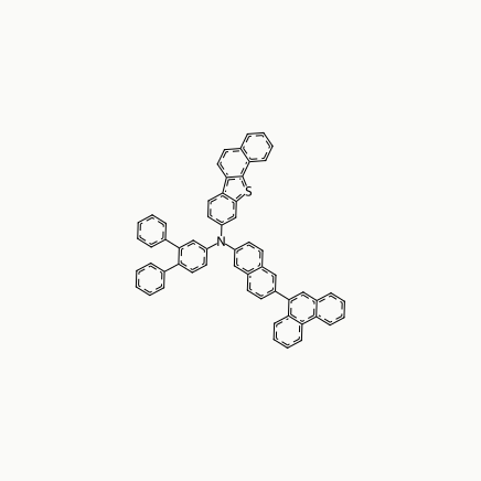 c1ccc(-c2ccc(N(c3ccc4cc(-c5cc6ccccc6c6ccccc56)ccc4c3)c3ccc4c(c3)sc3c5ccccc5ccc43)cc2-c2ccccc2)cc1